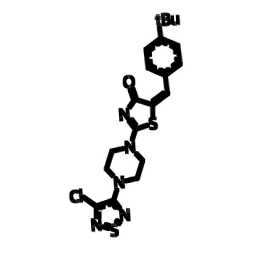 CC(C)(C)c1ccc(C=C2SC(N3CCN(c4nsnc4Cl)CC3)=NC2=O)cc1